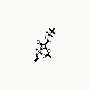 C=CC[Si](C)(C)N1C(=O)C([C@@H](C)O[Si](C)(C)C(C)(C)C)C1OC(C)=O